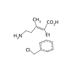 CCC(C(=O)O)=C(C)CCN.ClCc1ccccc1